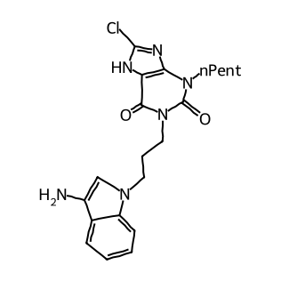 CCCCCn1c(=O)n(CCCn2cc(N)c3ccccc32)c(=O)c2[nH]c(Cl)nc21